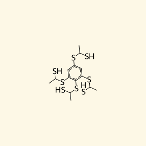 CC(S)Sc1cc(SC(C)S)c(SC(C)S)c(SC(C)S)c1